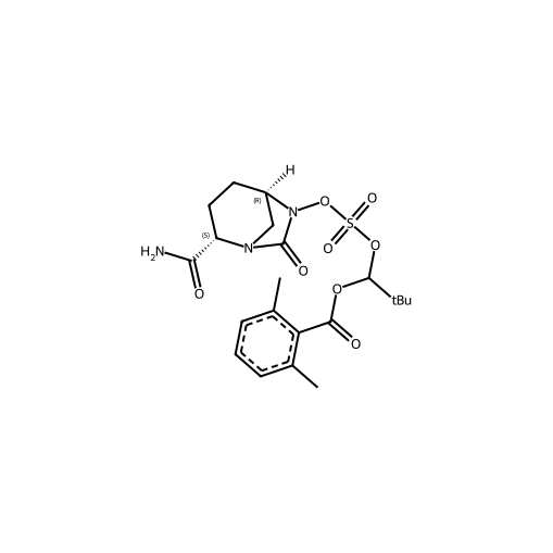 Cc1cccc(C)c1C(=O)OC(OS(=O)(=O)ON1C(=O)N2C[C@H]1CC[C@H]2C(N)=O)C(C)(C)C